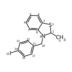 CC1Sc2ccccc2N1Cc1ccc(I)cc1